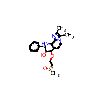 Cc1nc2c3c(ccn2c1C)[C@@H](OCC[S+](C)[O-])[C@H](O)[C@@H](c1ccccc1)N3